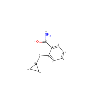 NC(=O)c1ccccc1[CH]C1CC1